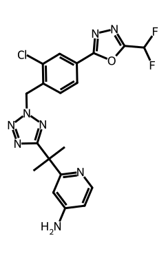 CC(C)(c1cc(N)ccn1)c1nnn(Cc2ccc(-c3nnc(C(F)F)o3)cc2Cl)n1